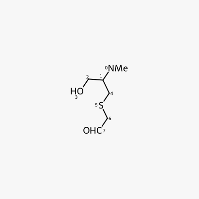 CNC(CO)CSCC=O